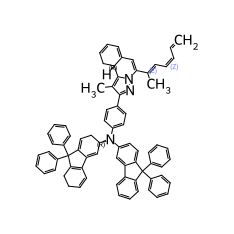 C=C/C=C\C=C(/C)C1=CC2=CC=CC[C@H]2c2c(C)c(-c3ccc(N(c4ccc5c(c4)-c4ccccc4C5(c4ccccc4)c4ccccc4)[C@H]4C=C5C(=CC4)C(c4ccccc4)(c4ccccc4)C4=C5C=CCC4)cc3)nn21